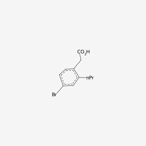 CCCc1cc(Br)ccc1CC(=O)O